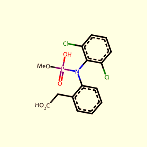 COP(=O)(O)N(c1ccccc1CC(=O)O)c1c(Cl)cccc1Cl